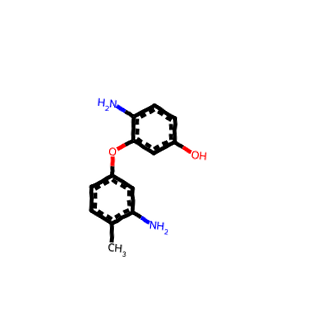 Cc1ccc(Oc2cc(O)ccc2N)cc1N